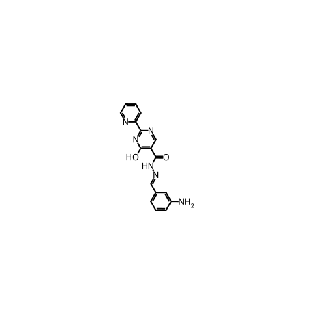 Nc1cccc(C=NNC(=O)c2cnc(-c3ccccn3)nc2O)c1